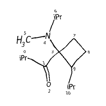 CC(C)C(=O)C1(N(C)C(C)C)CCC1C(C)C